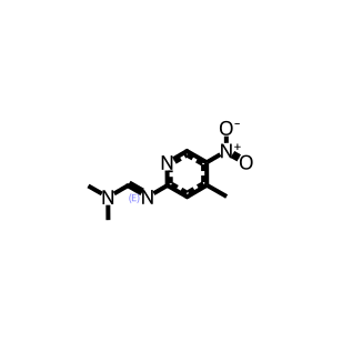 Cc1cc(/N=C/N(C)C)ncc1[N+](=O)[O-]